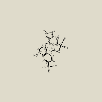 C[C@H]1C[C@@]2(C[C@@H](c3cn(C)nn3)N1C(=O)C(F)(F)F)OC[C@@H](O)c1cc(C(F)(F)F)ccc12